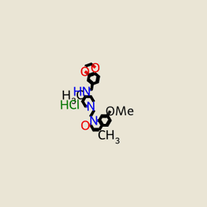 COc1ccc2c(C)cc(=O)n(CCN3CCC(C)(NCc4ccc5c(c4)OCCO5)CC3)c2c1.Cl